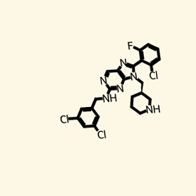 Fc1cccc(Cl)c1-c1nc2cnc(NCc3cc(Cl)cc(Cl)c3)nc2n1C[C@@H]1CCCNC1